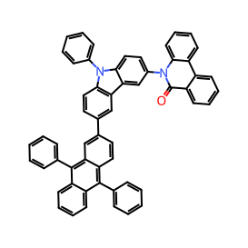 O=c1c2ccccc2c2ccccc2n1-c1ccc2c(c1)c1cc(-c3ccc4c(-c5ccccc5)c5ccccc5c(-c5ccccc5)c4c3)ccc1n2-c1ccccc1